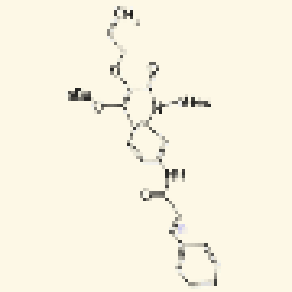 C=CCOc1c(OCCCC)c2ccc(NC(=O)/C=C/c3ccccc3)cc2n(CCCCCC)c1=O